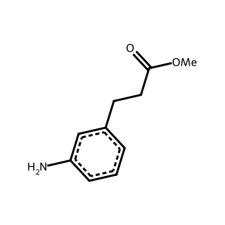 COC(=O)CCc1cccc(N)c1